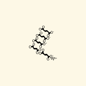 O=C([O-])C=CC(=O)[O-].O=C([O-])C=CC(=O)[O-].O=C([O-])C=CC(=O)[O-].O=C([O-])C=CC(=O)[O-].O=C([O-])C=CC(=O)[O-].[V+5].[V+5]